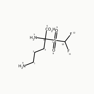 NCCCC(N)(C(=O)O)S(=O)(=O)C(F)F